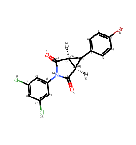 O=C1[C@@H]2C(c3ccc(Br)cc3)[C@@H]2C(=O)N1c1cc(Cl)cc(Cl)c1